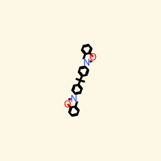 CC(C)(c1ccc(N2COc3ccccc3C2)cc1)c1ccc(N2COc3ccccc3C2)cc1